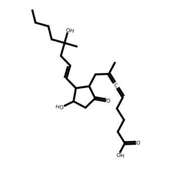 CCCCC(C)(O)C/C=C/C1C(O)CC(=O)C1CC(C)=C=CCCCC(=O)O